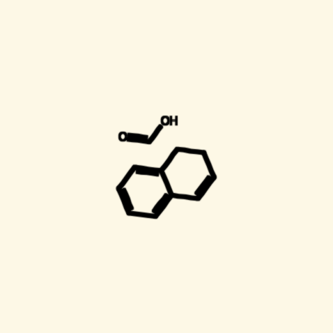 C1=Cc2ccccc2CC1.O=CO